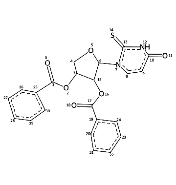 O=C(OC1COC(n2ccc(=O)[nH]c2=S)C1OC(=O)c1ccccc1)c1ccccc1